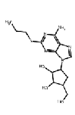 CCCSc1nc(N)c2ncn(C3CC(CO)C(O)C3O)c2n1